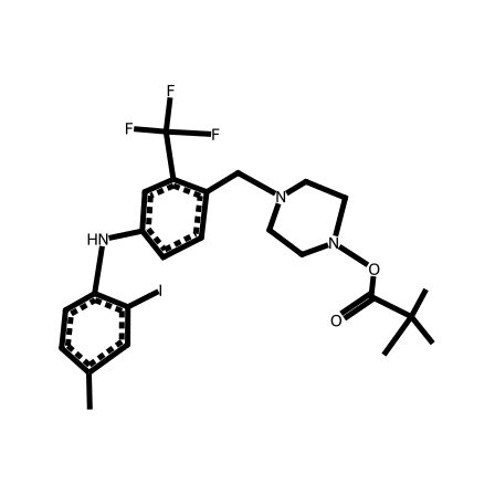 Cc1ccc(Nc2ccc(CN3CCN(OC(=O)C(C)(C)C)CC3)c(C(F)(F)F)c2)c(I)c1